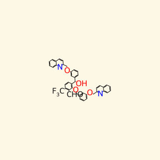 O=Cc1c(C(F)(F)F)ccc(C(O)c2cccc(OCc3ccc4ccccc4n3)c2)c1OCc1cccc(OCc2ccc3ccccc3n2)c1